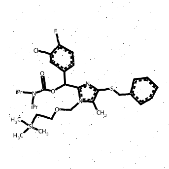 Cc1c(SCc2ccccc2)nc(C(OC(=O)N(C(C)C)C(C)C)c2ccc(F)c(Cl)c2)n1COCC[Si](C)(C)C